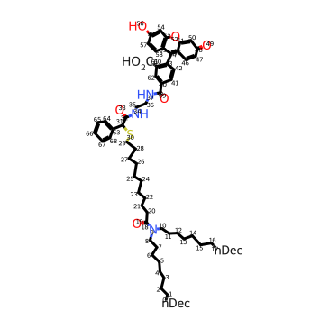 CCCCCCCCCCCCCCCCCCN(CCCCCCCCCCCCCCCCC)C(=O)CCCCCCCCCCSC(C(=O)NCCNC(=O)c1ccc(-c2c3ccc(=O)cc-3oc3cc(O)ccc23)c(C(=O)O)c1)c1ccccc1